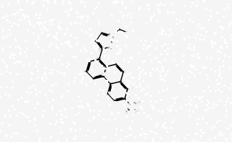 CC[n+]1ccc(-c2cccc3c2ccc2cc(S(=O)(=O)O)ccc23)o1